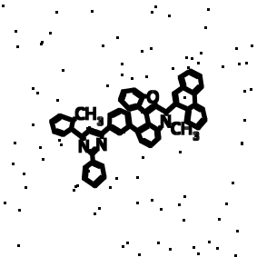 CC1C=CC=CC1c1cc(-c2cccc(-c3cccc4c3-c3c(oc5ccccc35)C(c3cc5ccccc5c5ccccc35)N4C)c2)nc(-c2ccccc2)n1